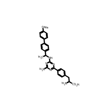 COc1ccc(-c2ccc(C(C)Nc3nc(N)nc(-c4ccc(CC(N)C(=O)O)cc4)n3)cc2)cc1